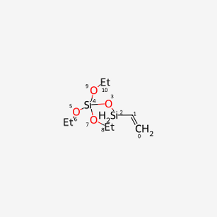 C=C[SiH2]O[Si](OCC)(OCC)OCC